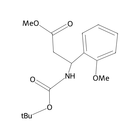 COC(=O)CC(NC(=O)OC(C)(C)C)c1ccccc1OC